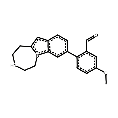 COc1ccc(-c2ccc3cc4n(c3c2)CCNCC4)c(C=O)c1